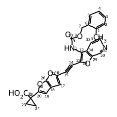 Cc1ccccc1COC(=O)Nc1c(C#Cc2cc3cc(C4(C(=O)O)CC4)oc3o2)oc2cnccc12